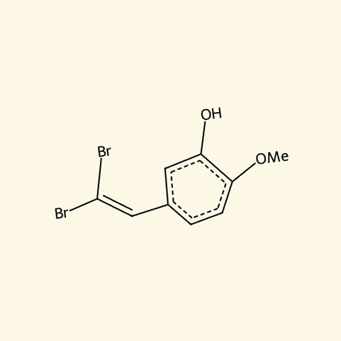 COc1ccc(C=C(Br)Br)cc1O